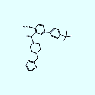 COc1ccc(-c2ccc(C(C)(C)F)cc2)cc1C(=O)N1CCN(Cc2ncccn2)CC1